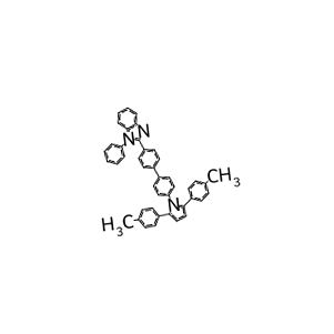 Cc1ccc(-c2ccc(-c3ccc(C)cc3)n2-c2ccc(-c3ccc(-c4nc5ccccc5n4-c4ccccc4)cc3)cc2)cc1